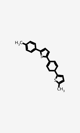 Cc1ccc(-c2ccc(C3=CCC(c4ccc(C)s4)C=C3)s2)cc1